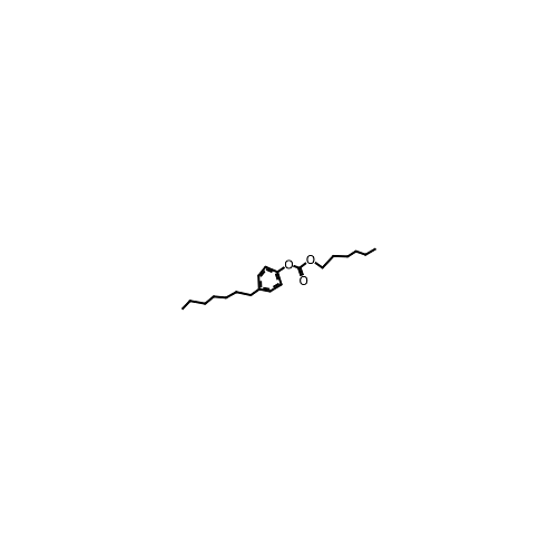 CCCCCCCc1ccc(OC(=O)OCCCCCC)cc1